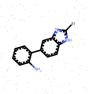 CCc1nc2cc(-c3ccccc3N)ccc2[nH]1